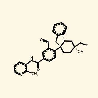 Cc1ncccc1NC(=O)c1ccc([C@]2(Cc3ccccc3)CC[C@](O)(CF)C[C@H]2C=O)c(C=O)c1